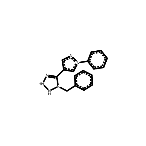 c1ccc(CN2NNN=C2c2cnn(-c3ccccc3)c2)cc1